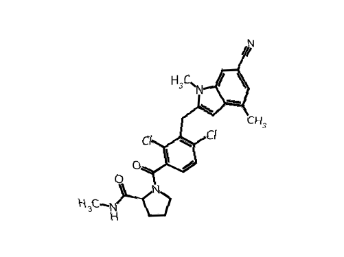 CNC(=O)[C@@H]1CCCN1C(=O)c1ccc(Cl)c(Cc2cc3c(C)cc(C#N)cc3n2C)c1Cl